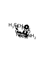 CN(C)CCOc1cc(-c2cn(-c3c(F)cccc3F)c(=O)c3c(N)n[nH]c23)ncn1